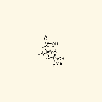 COP(=O)(O)OP(=O)(O)O[PH](=O)O